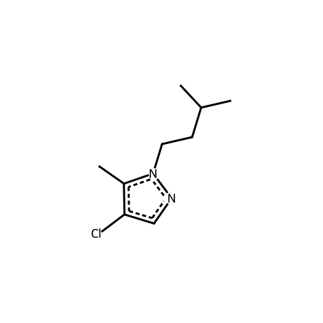 Cc1c(Cl)cnn1CCC(C)C